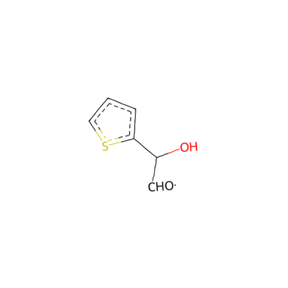 O=[C]C(O)c1cccs1